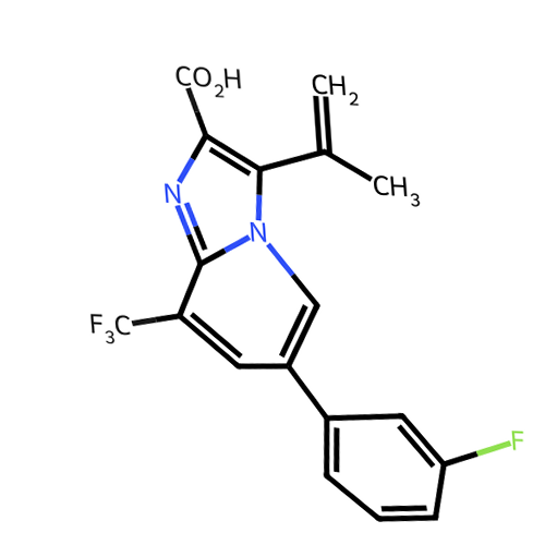 C=C(C)c1c(C(=O)O)nc2c(C(F)(F)F)cc(-c3cccc(F)c3)cn12